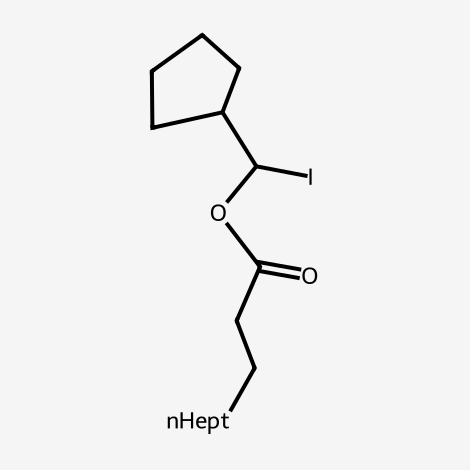 CCCCCCCCCC(=O)OC(I)C1CCCC1